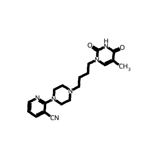 Cc1cn(CCCCN2CCN(c3ncccc3C#N)CC2)c(=O)[nH]c1=O